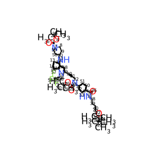 CC(C)(C)OC(=O)N1CCC(Nc2cccc3c2cc(C#CCN(C(=O)OC(C)(C)C)c2ccc(C(=O)NCCCCO[Si](C)(C)C(C)(C)C)cc2)n3CC(F)(F)F)CC1